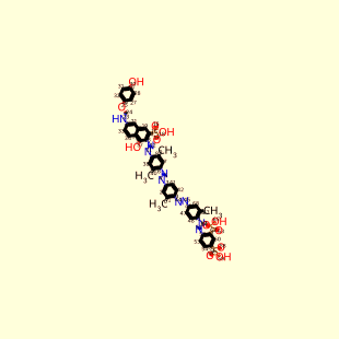 Cc1cc(N=Nc2cc(C)c(N=Nc3c(S(=O)(=O)O)cc4cc(NCOc5ccc(O)cc5)ccc4c3O)cc2C)ccc1N=Nc1ccc(N=Nc2ccc(S(=O)(=O)O)cc2S(=O)(=O)O)c(C)c1